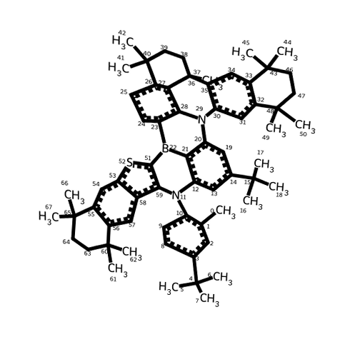 Cc1cc(C(C)(C)C)ccc1N1c2cc(C(C)(C)C)cc3c2B(c2ccc4c5c2N3c2cc3c(cc2C5(C)CCC4(C)C)C(C)(C)CCC3(C)C)c2sc3cc4c(cc3c21)C(C)(C)CCC4(C)C